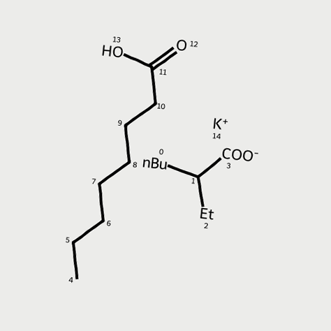 CCCCC(CC)C(=O)[O-].CCCCCCCC(=O)O.[K+]